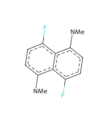 CNc1ccc(F)c2c(NC)ccc(F)c12